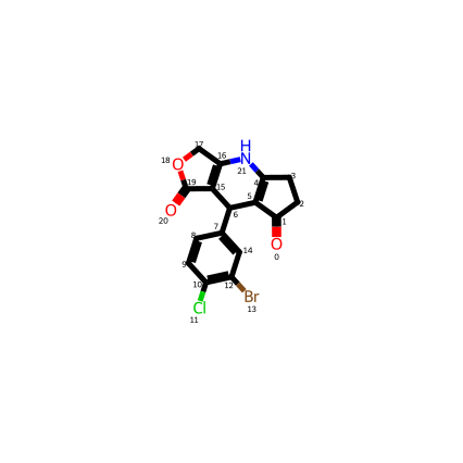 O=C1CCC2=C1C(c1ccc(Cl)c(Br)c1)C1=C(COC1=O)N2